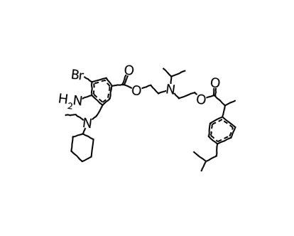 CCN(Cc1cc(C(=O)OCCN(CCOC(=O)C(C)c2ccc(CC(C)C)cc2)C(C)C)cc(Br)c1N)C1CCCCC1